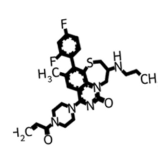 C=CC(=O)N1CCN(c2nc(=O)n3c4c(c(-c5ccc(F)cc5F)c(C)cc24)SCC(NCCC)C3)CC1